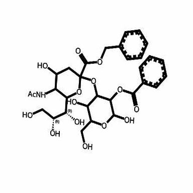 CC(=O)NC1C(O)CC(OC2C(O)C(CO)OC(O)C2OC(=O)c2ccccc2)(C(=O)OCc2ccccc2)OC1[C@H](O)[C@H](O)CO